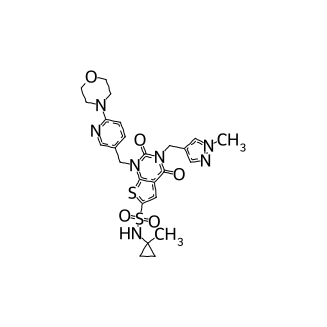 Cn1cc(Cn2c(=O)c3cc(S(=O)(=O)NC4(C)CC4)sc3n(Cc3ccc(N4CCOCC4)nc3)c2=O)cn1